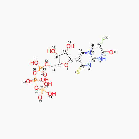 O=c1[nH]c2nc(=S)c([C@@H]3O[C@H](COP(=O)(O)OP(=O)(O)OP(=O)(O)O)C(O)[C@@H]3O)cn2cc1F